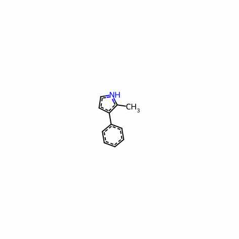 Cc1[nH]ccc1-c1ccccc1